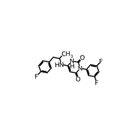 CC(Cc1ccc(F)cc1)Nc1cc(=O)n(-c2cc(F)cc(F)c2)c(=O)[nH]1